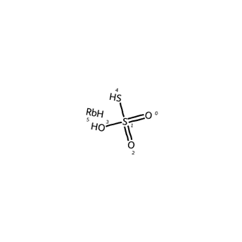 O=S(=O)(O)S.[RbH]